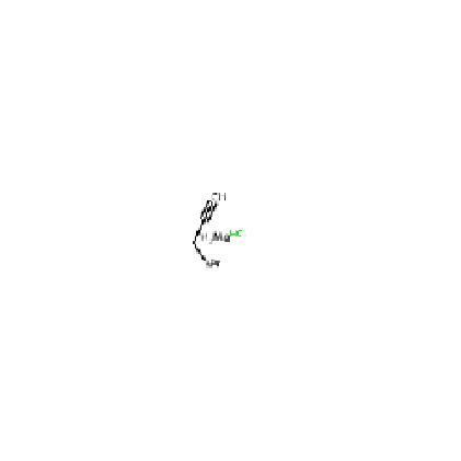 C#CCCCC.Cl.[MgH2]